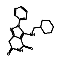 O=C1Cc2nn(-c3ccccc3)c(NCC3CCCCC3)c2C(=O)N1